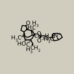 C=C[C@]1(C)C[C@@H](OC(=O)CSC2CC3CCC(C2)[N+]3(C)C)[C@]2(C)C(C)CCC3(CCC(=O)[C@H]32)[C@@H](C)[C@@H]1O